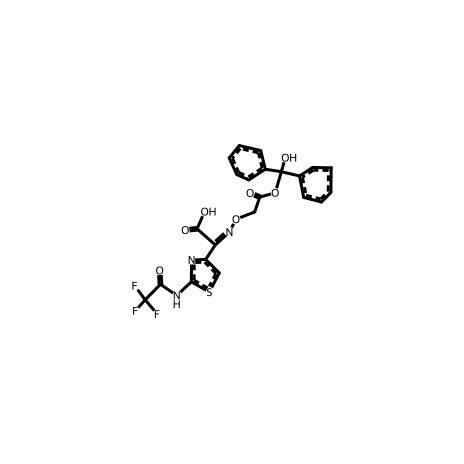 O=C(CON=C(C(=O)O)c1csc(NC(=O)C(F)(F)F)n1)OC(O)(c1ccccc1)c1ccccc1